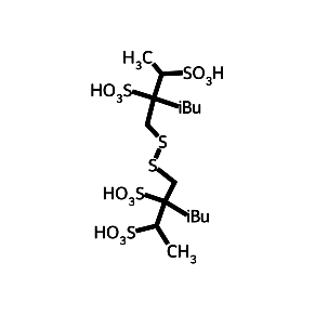 CCC(C)C(CSSCC(C(C)CC)(C(C)S(=O)(=O)O)S(=O)(=O)O)(C(C)S(=O)(=O)O)S(=O)(=O)O